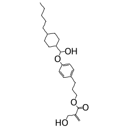 C=C(CO)C(=O)OCCCc1ccc(OC(O)C2CCC(CCCCC)CC2)cc1